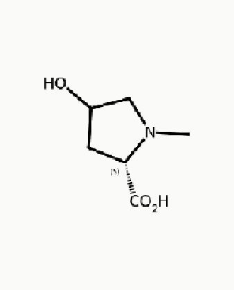 CN1CC(O)C[C@H]1C(=O)O